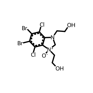 [O-][N+]1(CCO)CN(CCO)c2c(Cl)c(Br)c(Br)c(Cl)c21